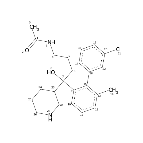 CC(=O)NCCCC(O)(c1cccc(C)c1-c1cccc(Cl)c1)C1CCCNC1